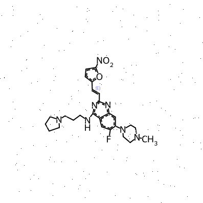 CN1CCN(c2cc3nc(/C=C/c4ccc([N+](=O)[O-])o4)nc(NCCCN4CCCC4)c3cc2F)CC1